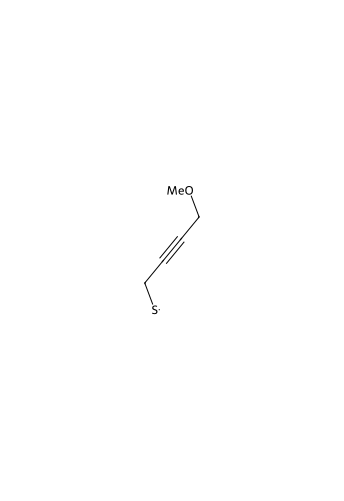 COCC#CC[S]